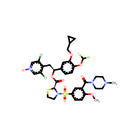 COc1ccc(S(=O)(=O)N2CCS[C@H]2C(=O)O[C@@H](Cc2c(Cl)c[n+]([O-])cc2Cl)c2ccc(OC(F)F)c(OCC3CC3)c2)cc1C(=O)N1CCN(C)CC1